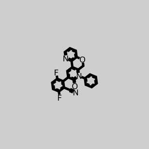 N#Cc1c(F)ccc(F)c1-c1cc2c(n(-c3ccccc3)c1=O)COc1cccnc1-2